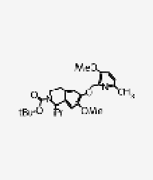 COc1cc2c(cc1OCc1nc(C)ccc1OC)CCN(C(=O)OC(C)(C)C)C2C(C)C